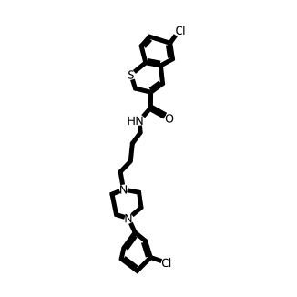 O=C(NCCCCN1CCN(c2cccc(Cl)c2)CC1)C1=Cc2cc(Cl)ccc2SC1